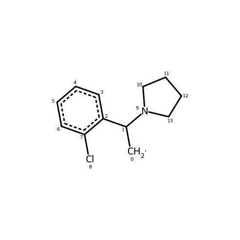 [CH2]C(c1ccccc1Cl)N1CCCC1